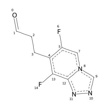 O=CCCc1c(F)cn2cnnc2c1F